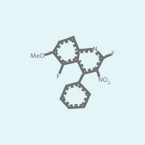 COc1ccc2nc(F)c([N+](=O)[O-])c(-c3ccccc3)c2c1F